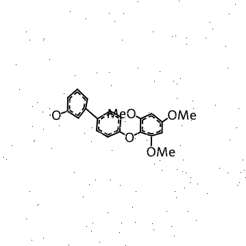 COc1cc(OC)c(Oc2ccc(-c3cccc([O])c3)cc2)c(OC)c1